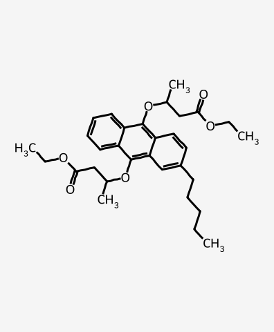 CCCCCc1ccc2c(OC(C)CC(=O)OCC)c3ccccc3c(OC(C)CC(=O)OCC)c2c1